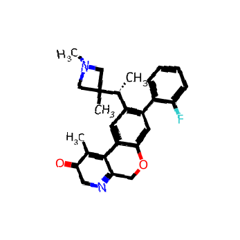 CC1=C2C(=NCC1=O)COc1cc(-c3ccccc3F)c([C@@H](C)C3(C)CN(C)C3)cc12